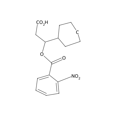 O=C(O)CC(OC(=O)c1ccccc1[N+](=O)[O-])C1CCCCC1